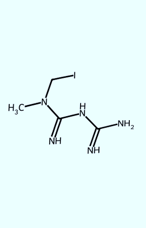 CN(CI)C(=N)NC(=N)N